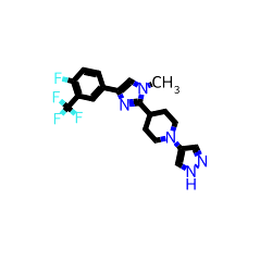 Cn1cc(-c2ccc(F)c(C(F)(F)F)c2)nc1C1CCN(c2cn[nH]c2)CC1